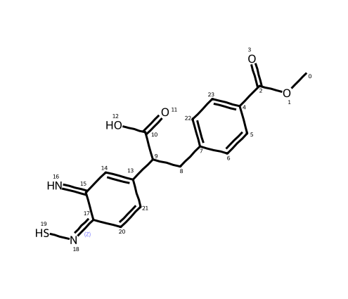 COC(=O)c1ccc(CC(C(=O)O)C2=CC(=N)/C(=N\S)C=C2)cc1